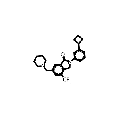 O=C1c2cc(CN3CCCCC3)cc(C(F)(F)F)c2CN1c1cccc(C2CCC2)c1